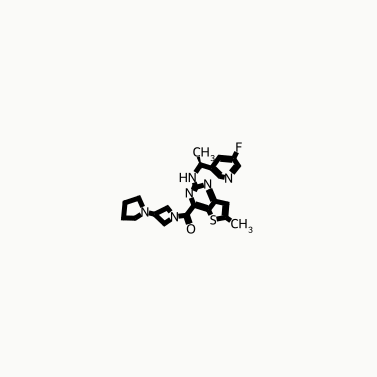 Cc1cc2nc(N[C@@H](C)c3cncc(F)c3)nc(C(=O)N3CC(N4CCCC4)C3)c2s1